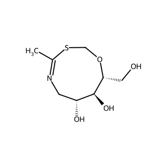 C/C1=N/C[C@@H](O)[C@H](O)[C@@H](CO)OCS1